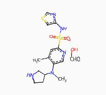 Cc1cc(S(=O)(=O)Nc2cscn2)ncc1N(C)C1CCNC1.O=CO